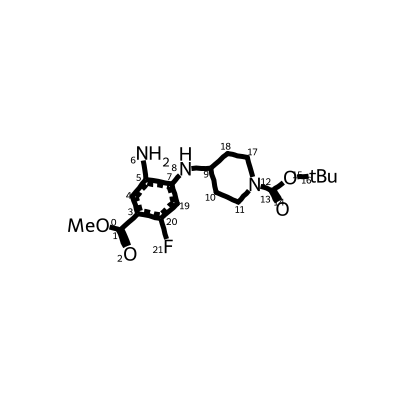 COC(=O)c1cc(N)c(NC2CCN(C(=O)OC(C)(C)C)CC2)cc1F